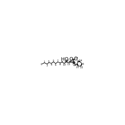 CCCCCCCCCCC[C@@H](O)C[C@H]1OC(=O)[C@@H]1Sc1ccccc1